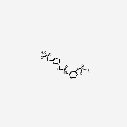 CS(=O)(=O)Oc1cccc(NC(=O)Nc2cccc(OS(C)(=O)=O)c2)c1